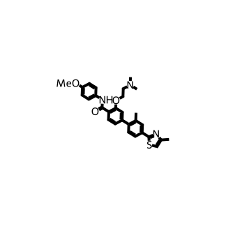 COc1ccc(NC(=O)c2ccc(-c3ccc(-c4nc(C)cs4)cc3C)cc2OCCN(C)C)cc1